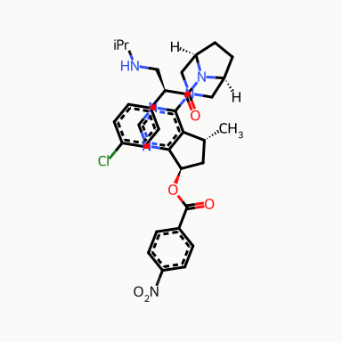 CC(C)NC[C@@H](C(=O)N1[C@@H]2CC[C@H]1CN(c1ncnc3c1[C@H](C)C[C@H]3OC(=O)c1ccc([N+](=O)[O-])cc1)C2)c1ccc(Cl)cc1